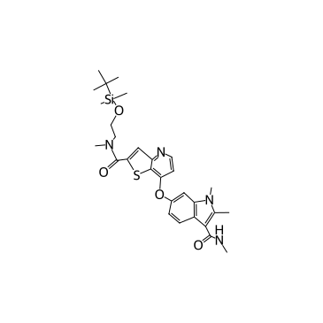 CNC(=O)c1c(C)n(C)c2cc(Oc3ccnc4cc(C(=O)N(C)CCO[Si](C)(C)C(C)(C)C)sc34)ccc12